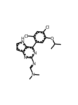 CC(C)Oc1cc(-c2nc(N=CN(C)C)nc3cc[nH]c23)c(Cl)cc1Cl